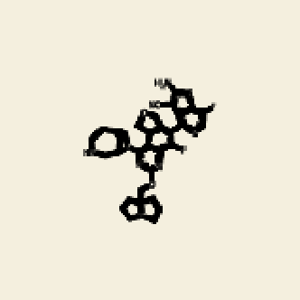 N#Cc1c(N)sc2c(F)cnc(-c3c4c(c5c(N6CC7CCNCC6C7)nc(OCC67CCCN6CCC7)nc5c3F)COC4)c12